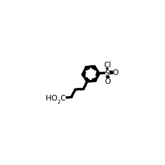 O=C(O)CCCc1cccc(S(=O)(=O)Cl)c1